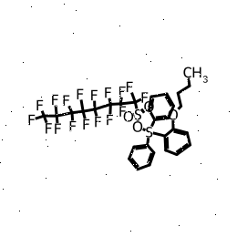 CCCCOc1ccccc1S(OS(=O)(=O)C(F)(F)C(F)(F)C(F)(F)C(F)(F)C(F)(F)C(F)(F)C(F)(F)C(F)(F)F)(c1ccccc1)c1ccccc1